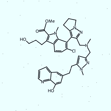 COC(=O)c1c(CCCO)c2ccc(Cl)c(-c3c(CN(C)Cc4cc(CCc5cc(O)c6ncccc6c5)n(C)n4)nn4c3CCC4)c2n1C